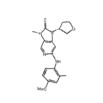 COc1ccc(Nc2cc3c(cn2)n(C)c(=O)n3C2CCOC2)c(C)c1